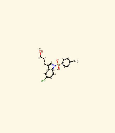 Cc1ccc(S(=O)(=O)n2cc(CCCO)c3cc(Br)ccc32)cc1